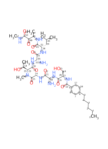 CCCCCCc1ccc(C(=O)N[C@H](CO)C(=O)N[C@H](N)C(=O)NCC(=O)N(C)[C@H](C(=O)N[C@@H](N)C(=O)N[C@@H](CC(C)C)C(=O)NC(C)C(=O)C(=O)NC)C(C)O)cc1